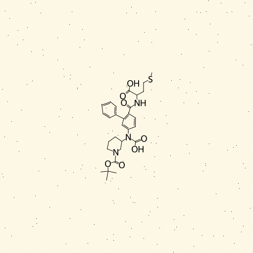 CSCCC(NC(=O)c1ccc(N(C(=O)O)C2CCCN(C(=O)OC(C)(C)C)C2)cc1-c1ccccc1)C(=O)O